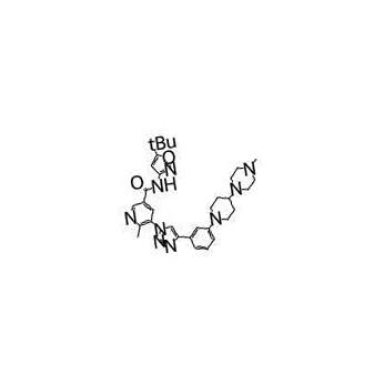 Cc1ncc(C(=O)Nc2cc(C(C)(C)C)on2)cc1-n1cc(-c2cccc(N3CCC(N4CCN(C)CC4)CC3)c2)nn1